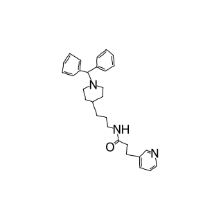 O=C(CCc1cccnc1)NCCCC1CCN(C(c2ccccc2)c2ccccc2)CC1